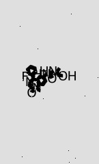 CC(CO)NC(=O)Nc1ccc2c(c1)C(c1ccccc1F)=NCC(=O)N2C